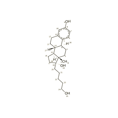 C[C@]12CC[C@@H]3c4ccc(O)cc4CC[C@H]3[C@@H]1CC[C@]2(O)CCCCCO